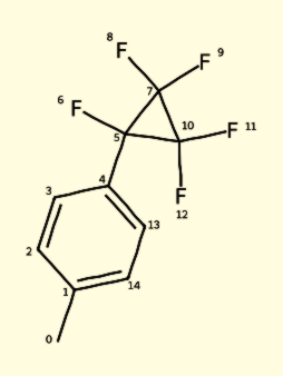 Cc1ccc(C2(F)C(F)(F)C2(F)F)cc1